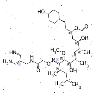 CO[C@@H](/C(=N/OCC(=O)NC/C(C=N)=C/N)[C@H](C)CC(C)C)[C@H](O)/C(C)=C/[C@@H](C)[C@H](O)C[C@@H](CC[C@H]1CC[C@H](O)CC1)OC=O